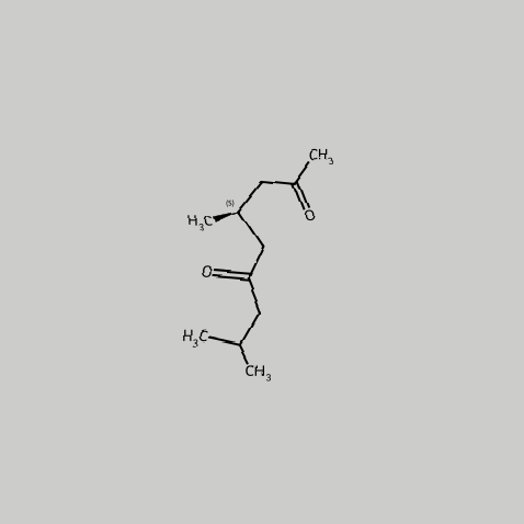 CC(=O)C[C@H](C)CC(=O)CC(C)C